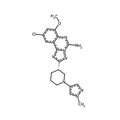 COc1cc(Cl)cc2c1nc(N)n1nc([C@H]3CCCN(c4cnn(C)c4)C3)nc21